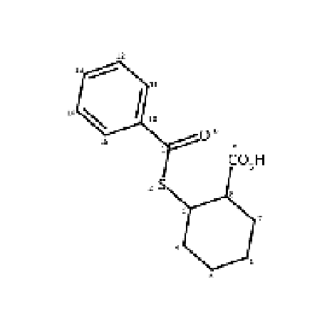 O=C(SC1CCCCC1C(=O)O)c1ccccc1